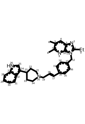 CCc1nc2cc(C)c(C)nc2n1Cc1ccc(C=CCN2CCC(c3c[nH]c4ccccc34)CC2)cc1